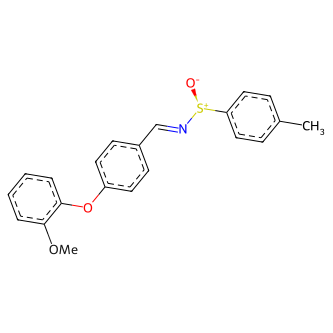 COc1ccccc1Oc1ccc(/C=N/[S@@+]([O-])c2ccc(C)cc2)cc1